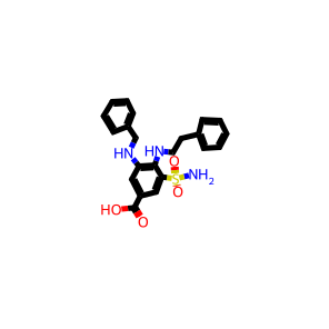 NS(=O)(=O)c1cc(C(=O)O)cc(NCc2ccccc2)c1NCCc1ccccc1